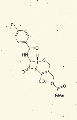 CNC(=O)OCC1=C(C(=O)O)N2C(=O)C(NC(=O)c3ccc(Cl)cc3)[C@@H]2SC1